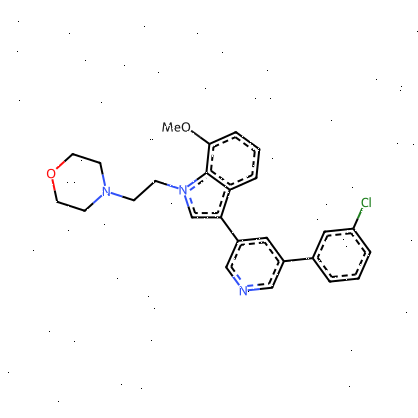 COc1cccc2c(-c3cncc(-c4cccc(Cl)c4)c3)cn(CCN3CCOCC3)c12